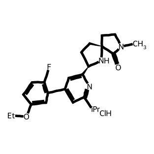 CCOc1ccc(F)c(-c2cc(C(C)C)nc([C@H]3CC[C@]4(CCN(C)C4=O)N3)c2)c1.Cl